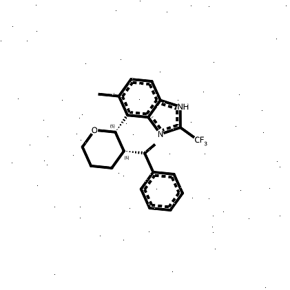 Cc1ccc2[nH]c(C(F)(F)F)nc2c1[C@H]1OCCC[C@H]1C(C)c1ccccc1